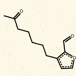 CC(=O)CCCCCc1ccoc1C=O